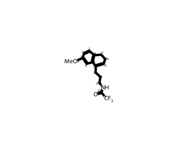 COc1ccc2c(c1)C(CCCNC(=O)C(F)(F)F)=CCC2